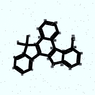 CC1(C)c2ccccc2-c2c1c1ccccc1c1c2oc2cccc(Cl)c21